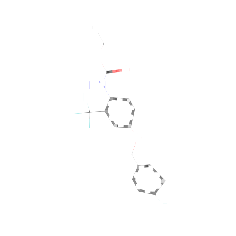 CCOC(=O)Nc1ccc(OCc2ccc(F)cc2)cc1C(F)(F)F